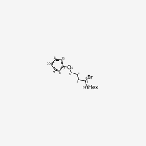 CCCCCCC(Br)CCCOc1ccccc1